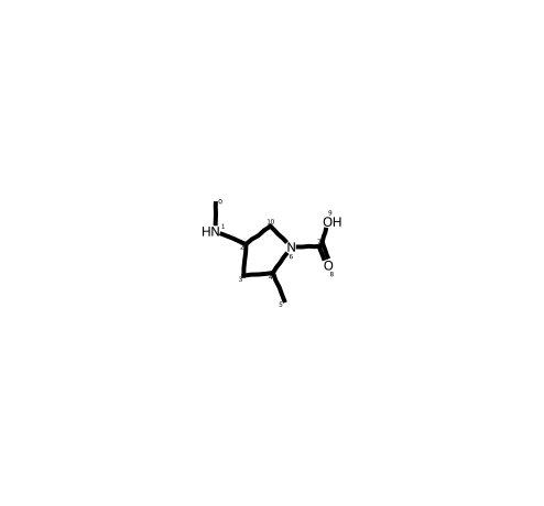 CNC1CC(C)N(C(=O)O)C1